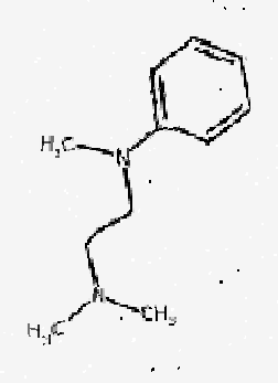 CN(C)CCN(C)c1cc[c]cc1